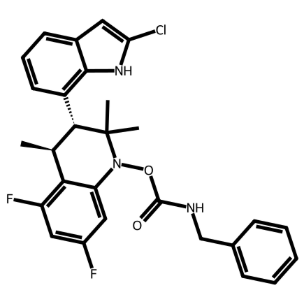 C[C@@H]1c2c(F)cc(F)cc2N(OC(=O)NCc2ccccc2)C(C)(C)[C@H]1c1cccc2cc(Cl)[nH]c12